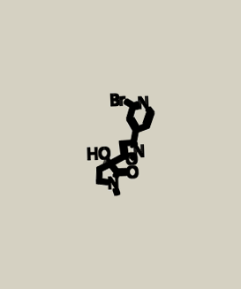 CN1CC[C@@](O)(c2cc(-c3ccnc(Br)c3)no2)C1=O